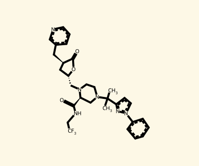 CC(C)(c1ccn(-c2ccccc2)n1)N1CCN(C[C@@H]2C[C@@H](Cc3cccnc3)C(=O)O2)[C@H](C(=O)NCC(F)(F)F)C1